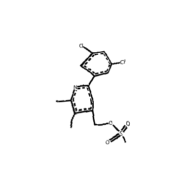 Cc1nc(-c2cc(Cl)cc(Cl)c2)cc(COS(C)(=O)=O)c1C